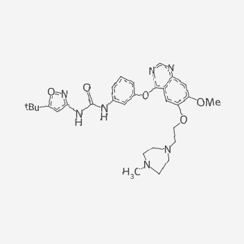 COc1cc2ncnc(Oc3cccc(NC(=O)Nc4cc(C(C)(C)C)on4)c3)c2cc1OCCN1CCN(C)CC1